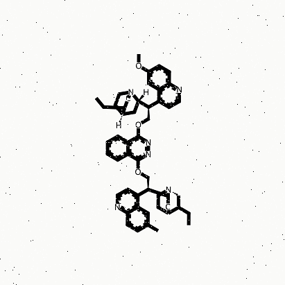 CCC1C[N@@]2CCC1CC2[C@H](COc1nnc(OC[C@H](c2ccnc3ccc(OC)cc23)[C@@H]2C[C@H]3CCN2CC3CC)c2ccccc12)c1ccnc2ccc(C)cc12